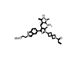 C=CC(=O)N1CC2(CC(n3nc(-c4ccc5nn(CCOC)cc5c4)c(/C=C4/C(=C)NN(C)C4N)c3C)C2)C1